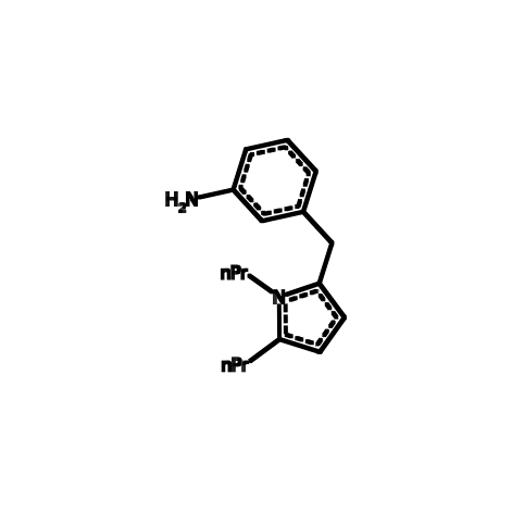 CCCc1ccc(Cc2cccc(N)c2)n1CCC